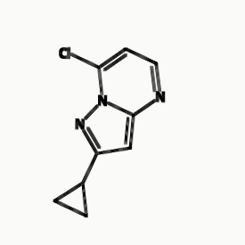 Clc1ccnc2cc(C3CC3)nn12